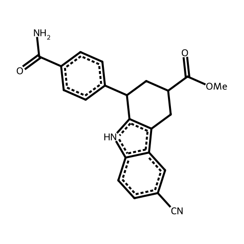 COC(=O)C1Cc2c([nH]c3ccc(C#N)cc23)C(c2ccc(C(N)=O)cc2)C1